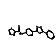 O=C(Nc1ccc(-c2nnc(-c3ccccc3)o2)cc1)c1nccs1